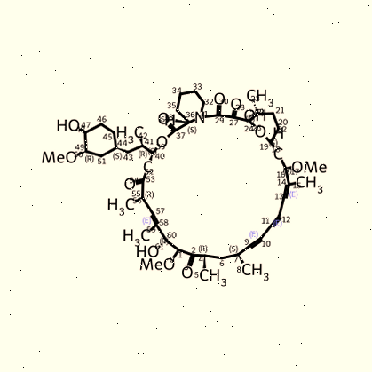 COC1C(=O)[C@H](C)C[C@H](C)/C=C/C=C/C=C(\C)[C@H](OC)C[C@@H]2CC[C@@H](C)[C@@](O)(O2)C(=O)C(=O)N2CCCC[C@H]2C(=O)O[C@H]([C@H](C)C[C@@H]2CCC(O)[C@H](OC)C2)CC(=O)[C@H](C)/C=C(\C)[C@H]1O